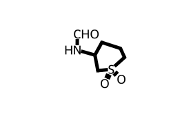 O=CNC1CCCS(=O)(=O)C1